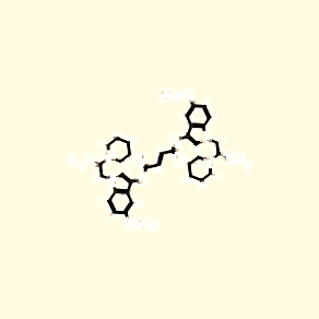 COc1ccc2c(c1)c(OC(=O)/C=C/C(=O)Oc1cn(C[C@@H](C)N3CCCCC3)c3ccc(OC)cc13)cn2C[C@@H](C)N1CCCCC1